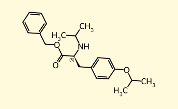 CC(C)N[C@@H](Cc1ccc(OC(C)C)cc1)C(=O)OCc1ccccc1